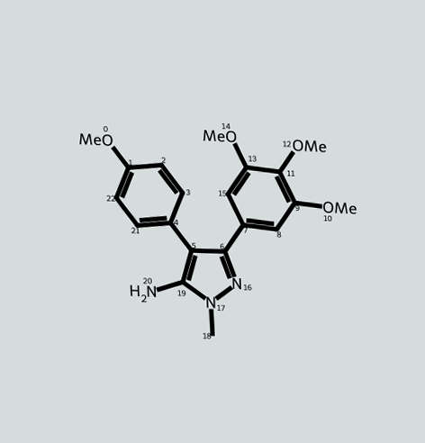 COc1ccc(-c2c(-c3cc(OC)c(OC)c(OC)c3)nn(C)c2N)cc1